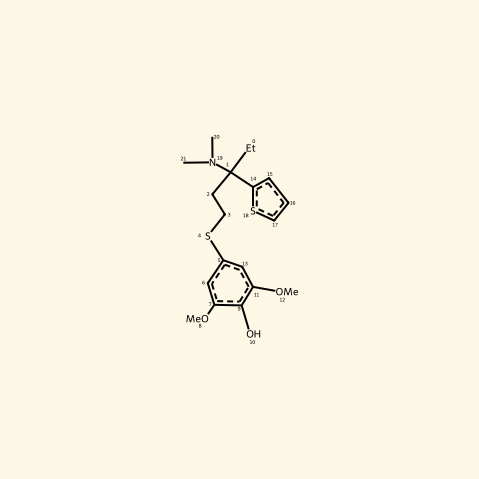 CCC(CCSc1cc(OC)c(O)c(OC)c1)(c1cccs1)N(C)C